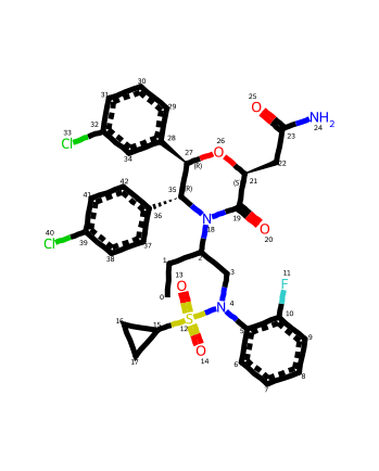 CCC(CN(c1ccccc1F)S(=O)(=O)C1CC1)N1C(=O)[C@H](CC(N)=O)O[C@H](c2cccc(Cl)c2)[C@H]1c1ccc(Cl)cc1